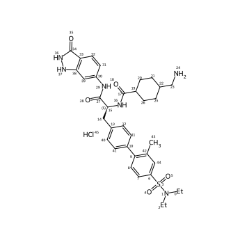 CCN(CC)S(=O)(=O)c1ccc(-c2ccc(C[C@H](NC(=O)C3CCC(CN)CC3)C(=O)Nc3ccc4c(=O)[nH][nH]c4c3)cc2)c(C)c1.Cl